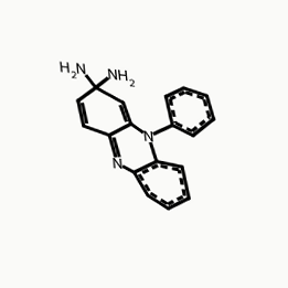 NC1(N)C=CC2=Nc3ccccc3N(c3ccccc3)C2=C1